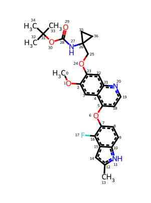 COc1cc2c(Oc3ccc4[nH]c(C)cc4c3F)ccnc2cc1OCC1(NC(=O)OC(C)(C)C)CC1